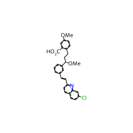 COc1ccc(CCC(OC)c2cccc(/C=C/c3ccc4ccc(Cl)cc4n3)c2)c(C(=O)O)c1